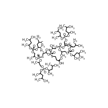 CC(C)CC(C)OP(=O)(OCC(C)OP(=O)(OC(C)COP(=O)(OC(C)CC(C)C)OC(C)CC(C)C)SCC(C)OP(=O)(OC(C)CSP(=O)(OC(C)COP(=O)(OC(C)CC(C)C)OC(C)CC(C)C)OC(C)COP(=O)(OC(C)CC(C)C)OC(C)CC(C)C)SCCC(=O)O)OC(C)CC(C)C